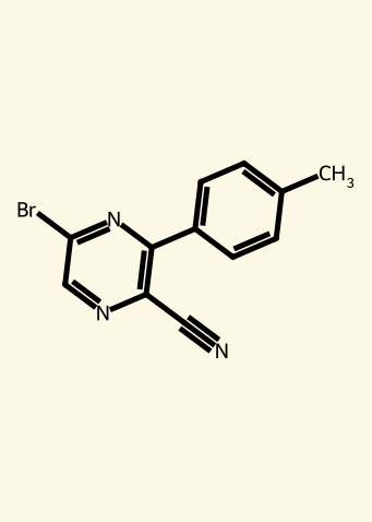 Cc1ccc(-c2nc(Br)cnc2C#N)cc1